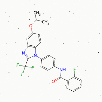 CC(C)Oc1ccc2c(c1)nc(C(F)(F)F)n2-c1ccc(NC(=O)c2ccccc2F)cc1